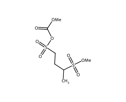 COC(=O)OS(=O)(=O)CCC(C)S(=O)(=O)OC